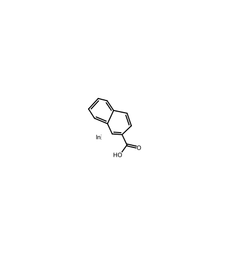 O=C(O)c1ccc2ccccc2c1.[In]